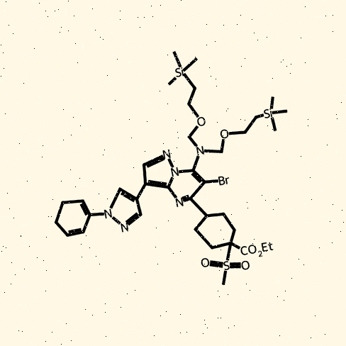 CCOC(=O)C1(S(C)(=O)=O)CCC(c2nc3c(-c4cnn(C5=CCCC=C5)c4)cnn3c(N(COCC[Si](C)(C)C)COCC[Si](C)(C)C)c2Br)CC1